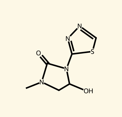 CN1CC(O)N(c2nncs2)C1=O